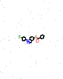 O=C(Sc1ccc2c(cnn2-c2ccc(F)cc2)c1)c1ccccc1